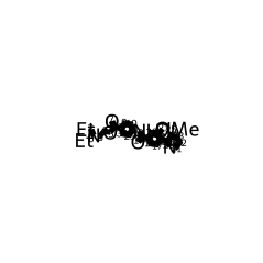 CCN(CC)CCOC(=O)c1ccc(NC(=O)c2ccc(-c3ncccc3Cl)c(OC)c2)cc1